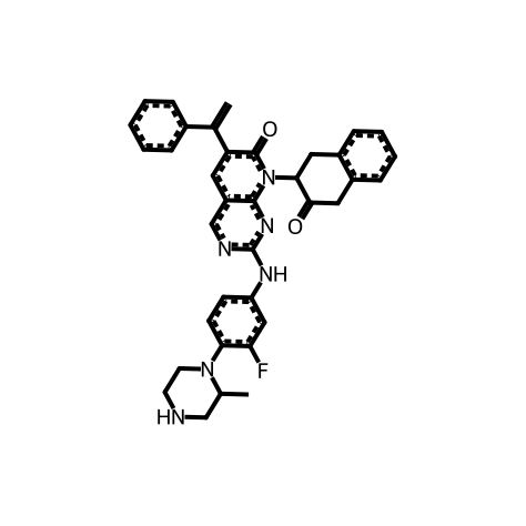 C=C(c1ccccc1)c1cc2cnc(Nc3ccc(N4CCNCC4C)c(F)c3)nc2n(C2Cc3ccccc3CC2=O)c1=O